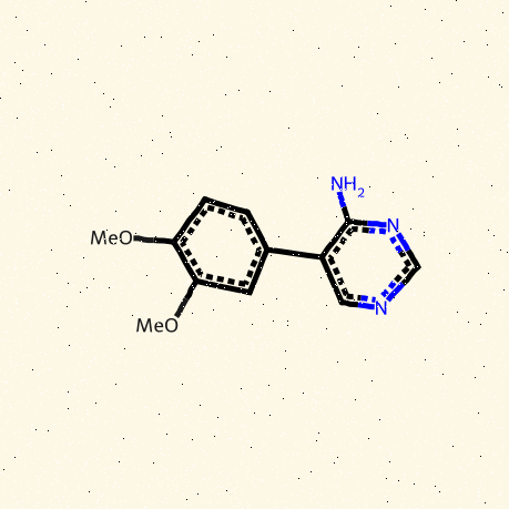 COc1ccc(-c2cncnc2N)cc1OC